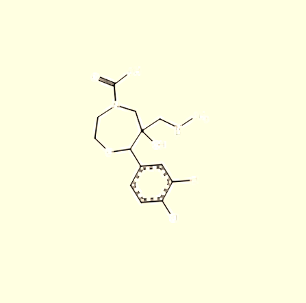 CNCC1(O)CN(C(=O)O)CCOC1c1ccc(Cl)c(Cl)c1